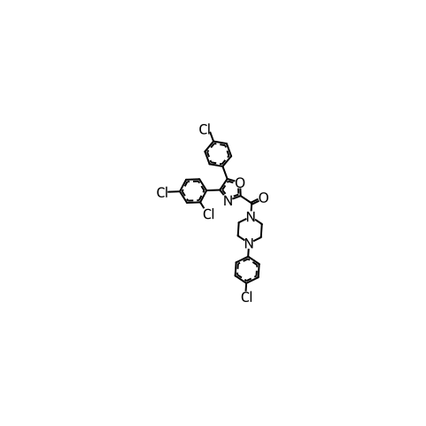 O=C(c1nc(-c2ccc(Cl)cc2Cl)c(-c2ccc(Cl)cc2)o1)N1CCN(c2ccc(Cl)cc2)CC1